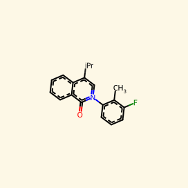 Cc1c(F)cccc1-n1cc(C(C)C)c2ccccc2c1=O